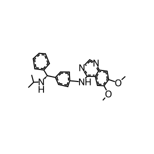 COc1cc2ncnc(Nc3ccc([C@@H](NC(C)C)c4ccccc4)cc3)c2cc1OC